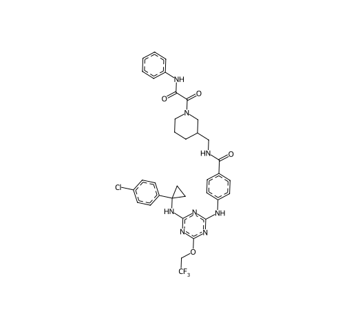 O=C(Nc1ccccc1)C(=O)N1CCCC(CNC(=O)c2ccc(Nc3nc(NC4(c5ccc(Cl)cc5)CC4)nc(OCC(F)(F)F)n3)cc2)C1